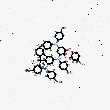 CC(C)(C)c1ccc(N(c2ccc(C(C)(C)C)cc2)c2cc3c4c(c2)N(c2cc5c(c(N(c6ccc(C(C)(C)C)cc6)c6ccc(C(C)(C)C)cc6)c2)C(C)(C)c2ccccc2-5)c2ccc(C(C)(C)C)cc2B4c2cc(C(C)(C)C)ccc2O3)cc1